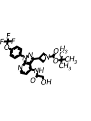 CC(C)(C)OC(=O)N1CC(c2nn(-c3ccc(OC(F)(F)F)cc3)c3nccc(NC(=O)CO)c23)C1